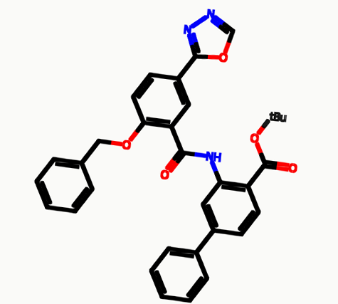 CC(C)(C)OC(=O)c1ccc(-c2ccccc2)cc1NC(=O)c1cc(-c2nnco2)ccc1OCc1ccccc1